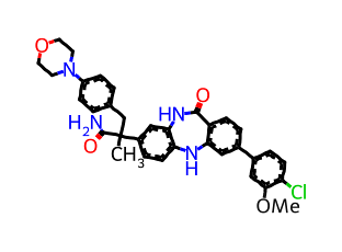 COc1cc(-c2ccc3c(c2)Nc2ccc(C(C)(Cc4ccc(N5CCOCC5)cc4)C(N)=O)cc2NC3=O)ccc1Cl